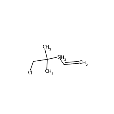 C=C[SiH2]C(C)(C)CCl